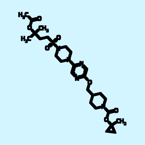 CC(=O)OC(C)(C)CCS(=O)(=O)N1CCN(c2cnc(OCC3CCN(C(=O)OC4(C)CC4)CC3)cn2)CC1